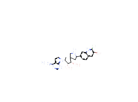 Nc1ncnc2c1ccn2[C@@H]1C[C@@]2(CNC(c3ccc4cc(Br)c(Cl)nc4c3)C2)[C@@H](O)[C@H]1O